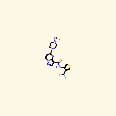 CN1CCN(c2ccn3ncc(C(=O)Nc4cscc4C(F)F)c3n2)CC1